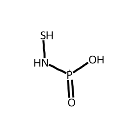 O=[P](O)NS